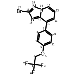 FC(F)(F)COc1ccc(-c2cccn3nc(Br)nc23)cc1